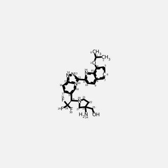 CC(C)Oc1cccc2ccc(-c3nnc4ccc([C@@H](N5CCC(N)(CO)C5)C(F)(F)F)cn34)nc12